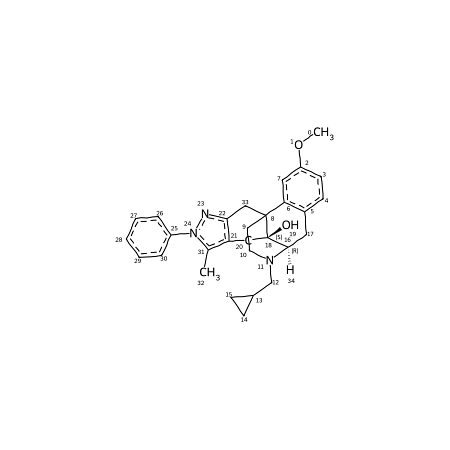 COc1ccc2c(c1)C13CCN(CC4CC4)[C@H](C2)[C@]1(O)Cc1c(nn(-c2ccccc2)c1C)C3